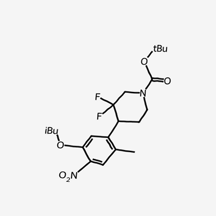 CCC(C)Oc1cc(C2CCN(C(=O)OC(C)(C)C)CC2(F)F)c(C)cc1[N+](=O)[O-]